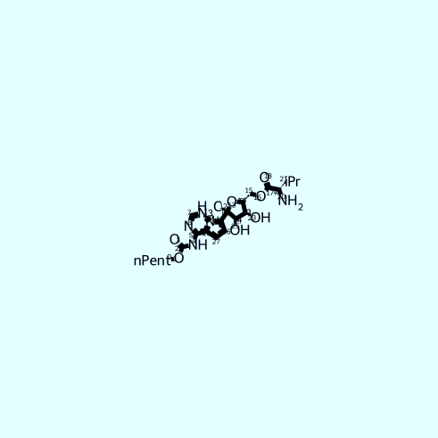 CCCCCOC(=O)Nc1ncnn2c([C@]3(C)O[C@H](COC(=O)[C@@H](N)C(C)C)[C@@H](O)[C@H]3O)ccc12